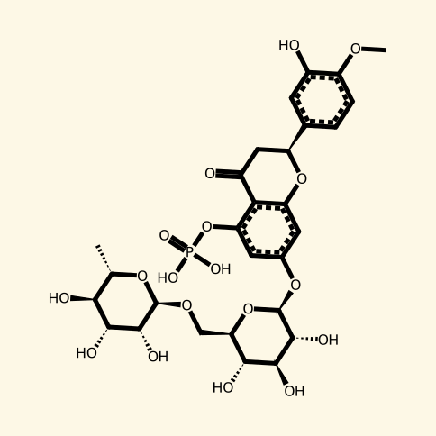 COc1ccc([C@@H]2CC(=O)c3c(cc(O[C@@H]4O[C@H](CO[C@@H]5O[C@@H](C)[C@H](O)[C@@H](O)[C@H]5O)[C@@H](O)[C@H](O)[C@H]4O)cc3OP(=O)(O)O)O2)cc1O